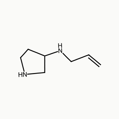 C=CCNC1CCNC1